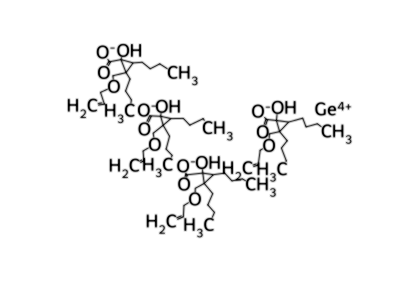 C=CCOCC1(CCCC)C(CCCC)C1(O)C(=O)[O-].C=CCOCC1(CCCC)C(CCCC)C1(O)C(=O)[O-].C=CCOCC1(CCCC)C(CCCC)C1(O)C(=O)[O-].C=CCOCC1(CCCC)C(CCCC)C1(O)C(=O)[O-].[Ge+4]